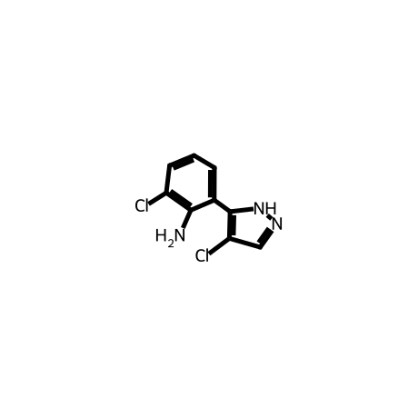 Nc1c(Cl)cccc1-c1[nH]ncc1Cl